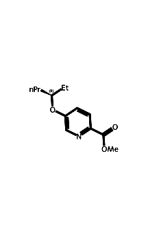 CCC[C@@H](CC)Oc1ccc(C(=O)OC)nc1